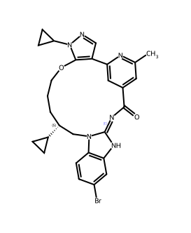 Cc1cc2cc(n1)-c1cnn(C3CC3)c1OCCC[C@@H](C1CC1)CN1/C(=N/C2=O)Nc2cc(Br)ccc21